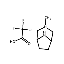 CN1CC2CCC(C1)N2.O=C(O)C(F)(F)F